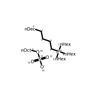 CCCCCCCCCCCCCC[P+](CCCCCC)(CCCCCC)CCCCCC.CCCCCCCCOS(=O)(=O)[O-]